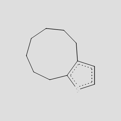 c1cc2c(s1)CCCCCCC2